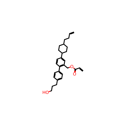 C=CCCC1CCC(c2ccc(-c3ccc(CCCO)cc3)c(COC(=O)C=C)c2)CC1